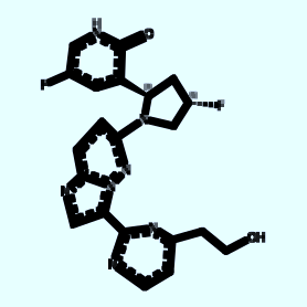 O=c1[nH]cc(F)cc1[C@H]1C[C@H](F)CN1c1ccc2ncc(-c3nccc(CCO)n3)n2n1